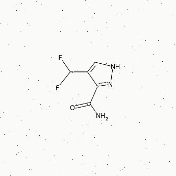 NC(=O)c1n[nH]cc1C(F)F